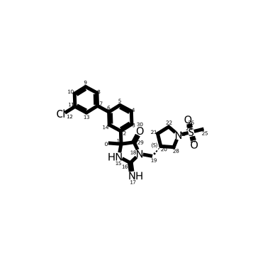 CC1(c2cccc(-c3cccc(Cl)c3)c2)NC(=N)N(C[C@@H]2CCN(S(C)(=O)=O)C2)C1=O